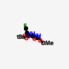 COCCOCc1ccc(S(=N)(=O)c2ccc(C(=O)Nc3cc(-c4ccc(F)cc4)ccc3NC(=O)OC(C)(C)C)cc2)cn1